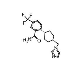 NC(=O)c1cc(C(F)(F)F)ccc1[C@H]1CC[C@H](Cn2ccnc2)CC1